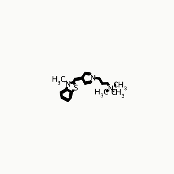 CN1c2ccccc2SC1C=C1C=CN(CCC[N+](C)(C)C)C=C1